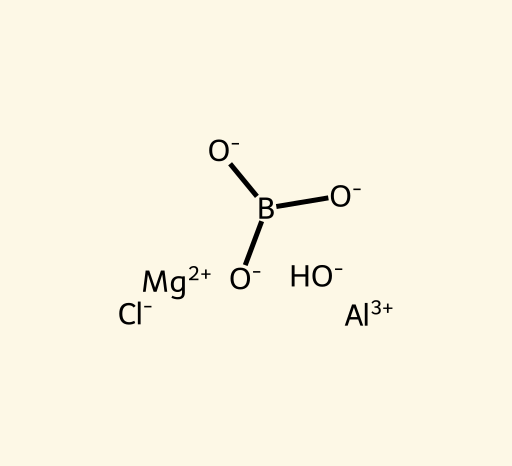 [Al+3].[Cl-].[Mg+2].[O-]B([O-])[O-].[OH-]